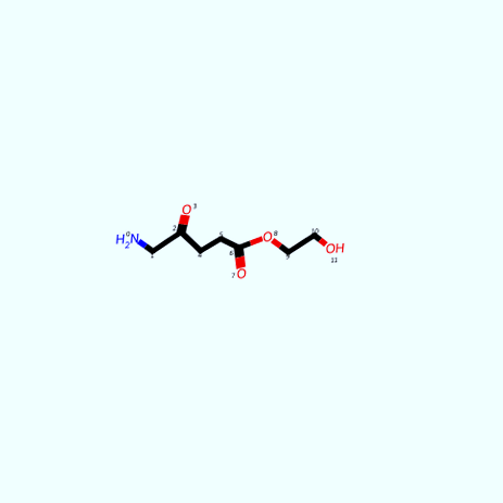 NCC(=O)CCC(=O)OCCO